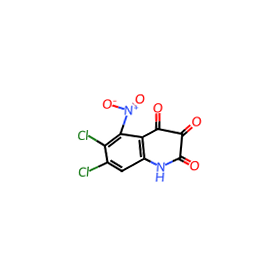 O=C1Nc2cc(Cl)c(Cl)c([N+](=O)[O-])c2C(=O)C1=O